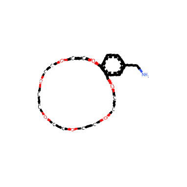 NCc1ccc2c(c1)OCCOCCOCCOCCOCCOCCO2